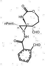 CCCCC[C@H]1N(NC(=O)c2ccccc2C=O)[C@]12NC(=O)OCC[C@@H]2C=O